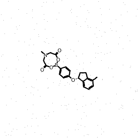 Cc1cccc2c1CC[C@H]2Oc1ccc(B2OC(=O)CN(C)CC(=O)O2)cc1